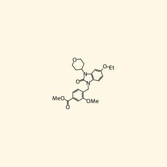 CCOc1ccc2c(c1)n(C1CCOCC1)c(=O)n2Cc1ccc(C(=O)OC)cc1OC